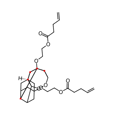 C=CCCC(=O)OCCOC12CC3CC(C1)C1(OOC4CC5C[C@H]1CC(OCCOC(=O)CCC=C)(C5)C4)C(C3)C2